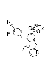 CCOc1c(Cc2ccc(C#N)c(F)c2)cc(S(N)(=O)=O)cc1Cc1ccccn1